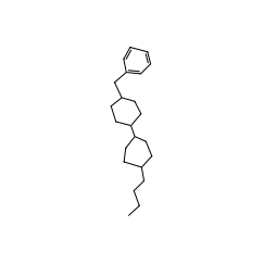 CCCCC1CCC(C2CCC(Cc3ccccc3)CC2)CC1